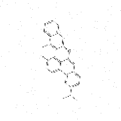 Cc1c2c(cc3ccccc13)Oc1cc3ccc(C(C)C)cc3c3cc[n+](C)c-2c13